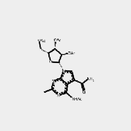 CC(=O)Nc1nc(C)nc2c1c(C(N)=O)cn2[C@@H]1O[C@H](COC(C)=O)[C@@H](OC(C)=O)[C@H]1OC(C)=O